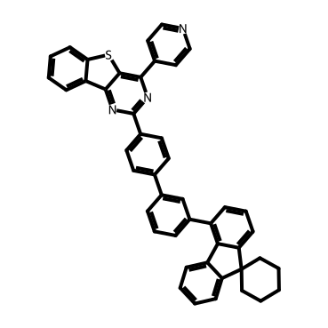 c1cc(-c2ccc(-c3nc(-c4ccncc4)c4sc5ccccc5c4n3)cc2)cc(-c2cccc3c2-c2ccccc2C32CCCCC2)c1